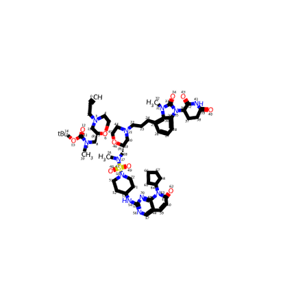 C#CCN1CCO[C@@H](CN(C)C(=O)OC(C)(C)C)C1.CN(C[C@H]1CN(CCCc2cccc3c2n(C)c(=O)n3C2CCC(=O)NC2=O)CCO1)S(=O)(=O)N1CCC(Nc2ncc3ccc(=O)n(C4CCCC4)c3n2)CC1